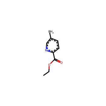 Bc1ccc(C(=O)OCC)nc1